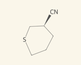 N#C[C@H]1CCCSC1